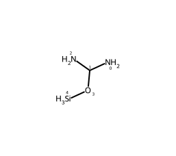 NC(N)O[SiH3]